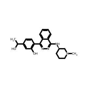 CC(O)c1ccc(-c2nnc(N[C@@H]3CCCN(C)C3)c3ccccc23)c(O)c1